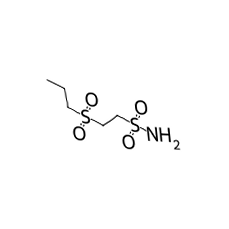 CCCS(=O)(=O)CCS(N)(=O)=O